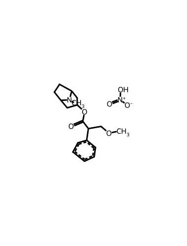 COCC(C(=O)OC1CC2CCC(C1)N2C)c1ccccc1.O=[N+]([O-])O